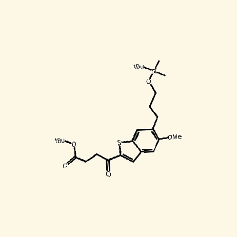 COc1cc2cc(C(=O)CCC(=O)OC(C)(C)C)sc2cc1CCCO[Si](C)(C)C(C)(C)C